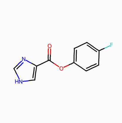 O=C(Oc1ccc(F)cc1)c1c[nH]cn1